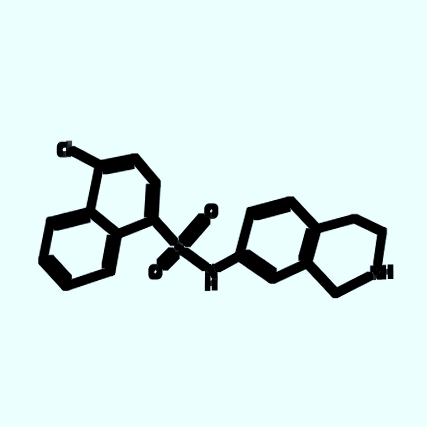 O=S(=O)(Nc1ccc2c(c1)CNCC2)c1ccc(Cl)c2ccccc12